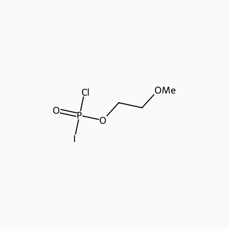 COCCOP(=O)(Cl)I